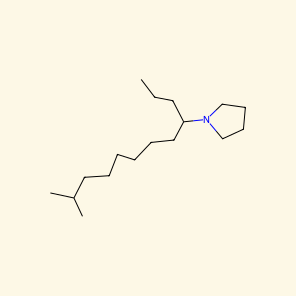 CCCC(CCCCCCC(C)C)N1CCCC1